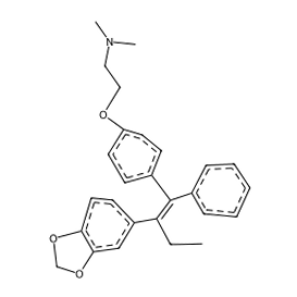 CCC(=C(c1ccccc1)c1ccc(OCCN(C)C)cc1)c1ccc2c(c1)OCO2